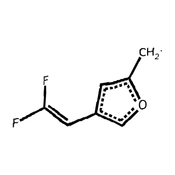 [CH2]c1cc(C=C(F)F)co1